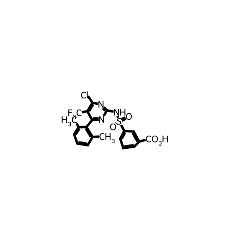 Cc1cccc(C)c1-c1nc(NS(=O)(=O)c2cccc(C(=O)O)c2)nc(Cl)c1C(F)(F)F